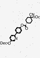 CCCCCCCCCCOc1ccc(-c2ccc(OC(=O)[C@H]3CC[C@@](C#N)(CCCCCCCC)CC3)cc2)nc1